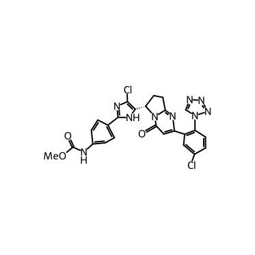 COC(=O)Nc1ccc(-c2nc(Cl)c([C@@H]3CCc4nc(-c5cc(Cl)ccc5-n5cnnn5)cc(=O)n43)[nH]2)cc1